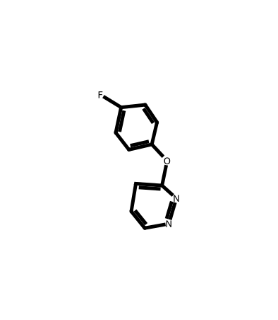 Fc1ccc(Oc2cccnn2)cc1